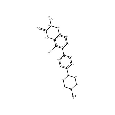 CCCC1CCC(c2ccc(-c3ccc4c(c3F)OC(=O)C(CCC)C4)cc2)CC1